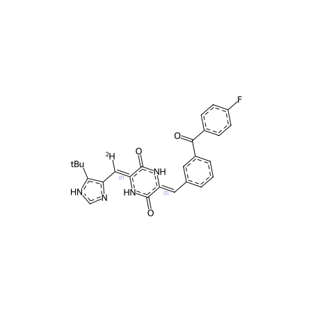 [2H]/C(c1nc[nH]c1C(C)(C)C)=c1/[nH]c(=O)/c(=C/c2cccc(C(=O)c3ccc(F)cc3)c2)[nH]c1=O